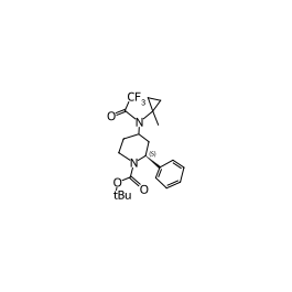 CC(C)(C)OC(=O)N1CCC(N(C(=O)C(F)(F)F)C2(C)CC2)C[C@H]1c1ccccc1